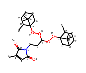 CC1=CC(=O)N(CCC(OOC23CC(CCC2C)C3(C)C)OOC23CC(CCC2C)C3(C)C)C1=O